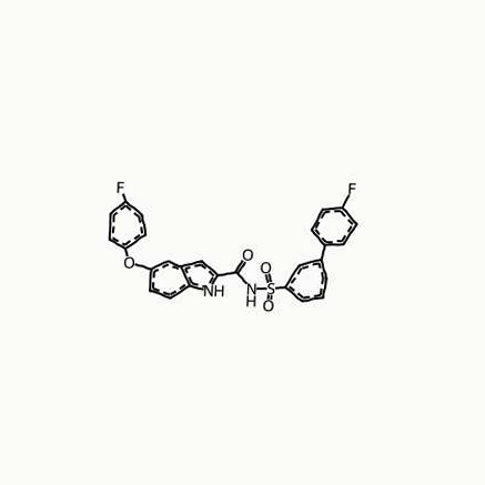 O=C(NS(=O)(=O)c1cccc(-c2ccc(F)cc2)c1)c1cc2cc(Oc3ccc(F)cc3)ccc2[nH]1